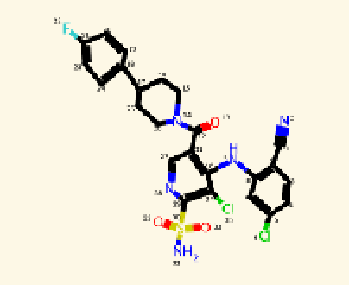 N#Cc1ccc(Cl)cc1Nc1c(C(=O)N2CCC(c3ccc(F)cc3)CC2)cnc(S(N)(=O)=O)c1Cl